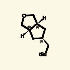 CC(C)(C)C[C@@H]1C[C@H]2COC[C@H]2C1